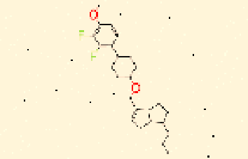 CCCC1CCC2C(COC3CCC(c4ccc(OC)c(F)c4F)CC3)=CCC12